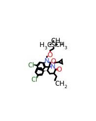 C=CCC1C[C@H](c2cccc(Cl)c2)C2(C(=O)N(COCC[Si](C)(C)C)c3cc(Cl)ccc32)N(CC2CC2)C1=O